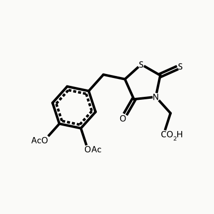 CC(=O)Oc1ccc(CC2SC(=S)N(CC(=O)O)C2=O)cc1OC(C)=O